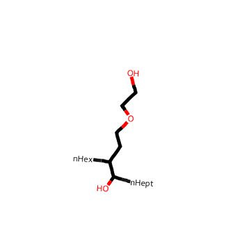 CCCCCCCC(O)C(CCCCCC)CCOCCO